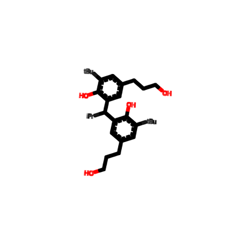 CC(C)C(c1cc(CCCO)cc(C(C)(C)C)c1O)c1cc(CCCO)cc(C(C)(C)C)c1O